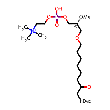 CCCCCCCCCCCC(=O)CCCCCCOC[C@H](COP(=O)(O)OCC[N+](C)(C)C)OC